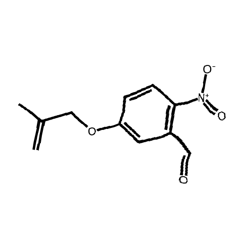 C=C(C)COc1ccc([N+](=O)[O-])c(C=O)c1